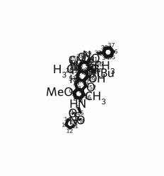 COc1cc(NCCS(=O)(=O)N2CCCC2)c(C)c2c1C[C@H]1C[C@H]3[C@H](N(C)C)c4onc(OCc5ccccc5)c4C(=O)[C@@]3(O[Si](C)(C)C(C)(C)C)C(O)=C1C2=O